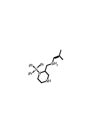 CC(C)=C[SiH2]CC1CNCCN1[Si](C(C)C)(C(C)C)C(C)C